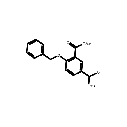 COC(=O)c1cc(C(Br)C=O)ccc1OCc1ccccc1